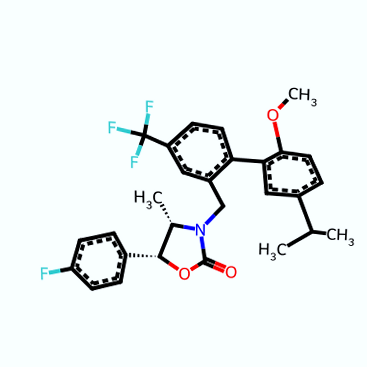 COc1ccc(C(C)C)cc1-c1ccc(C(F)(F)F)cc1CN1C(=O)O[C@H](c2ccc(F)cc2)[C@@H]1C